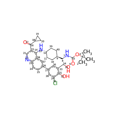 CC(C)(C)OC(=O)NC[C@H]1CC[C@H](Nc2c(C(=O)C3CC3)cnc3ccc(-c4cc(Cl)c(O)c(CO)c4)cc23)CC1